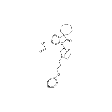 O=C(OC1C[N+]2(CCCOc3ccccc3)CCC1CC2)C1(c2ccccc2)CCCCCC1.O=C[O-]